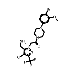 COc1cc(N2CCN(C(=O)Cn3nc(C(F)(F)F)c(Cl)c3CN)CC2)ccc1Br